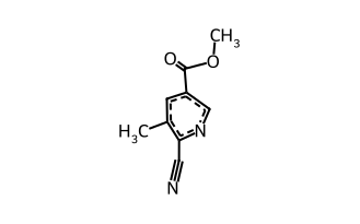 COC(=O)c1cnc(C#N)c(C)c1